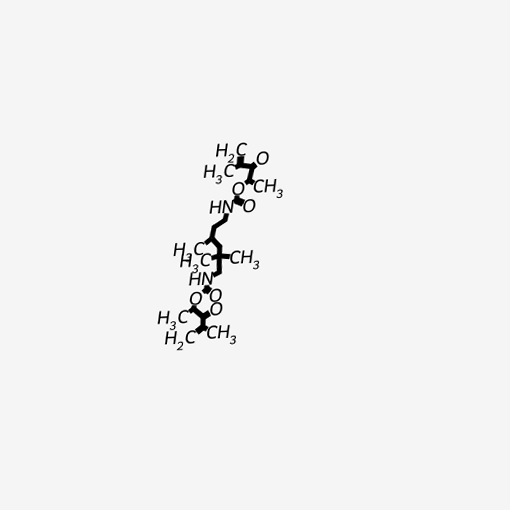 C=C(C)C(=O)C(C)OC(=O)NCCC(C)CC(C)(C)CNC(=O)OC(C)C(=O)C(=C)C